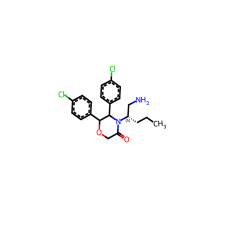 CCC[C@@H](CN)N1C(=O)COC(c2ccc(Cl)cc2)C1c1ccc(Cl)cc1